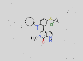 Cn1cc(-c2cc(SC3(Cl)CC3)ccc2NC2CCCCCC2)c2cc[nH]c2c1=O